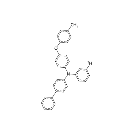 [3H]c1cccc(N(c2ccc(Oc3ccc(C)cc3)cc2)c2ccc(-c3ccccc3)cc2)c1